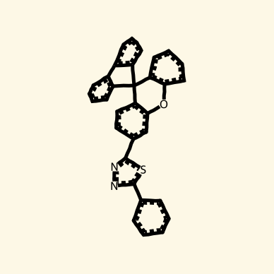 c1ccc(-c2nnc(-c3ccc4c(c3)Oc3ccccc3C43c4ccccc4-c4ccccc43)s2)cc1